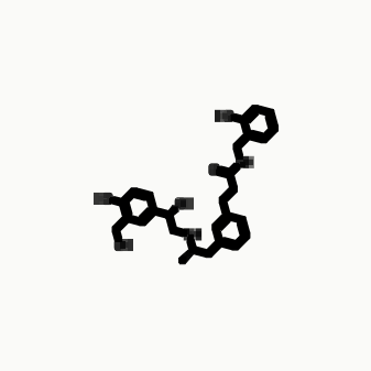 C[C@H](Cc1cccc(CCC(=O)NCc2ccccc2O)c1)NC[C@H](O)c1ccc(O)c(CO)c1